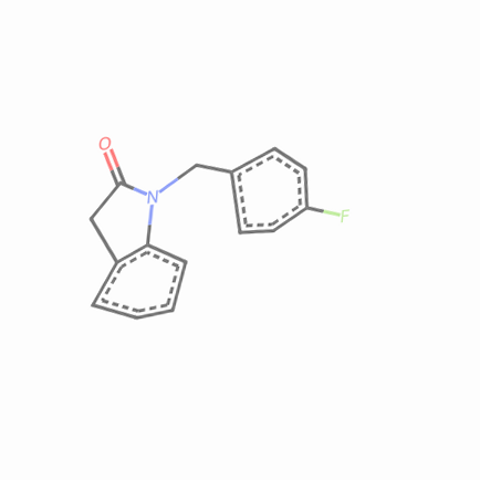 O=C1Cc2ccccc2N1Cc1ccc(F)cc1